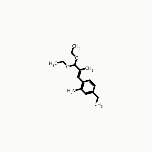 CCOC(OCC)/C(C)=C/c1ccc(CC)cc1N